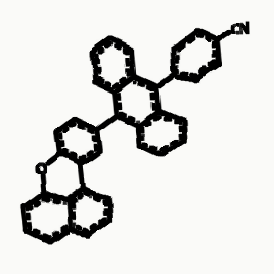 N#Cc1ccc(-c2c3ccccc3c(-c3ccc4c(c3)-c3cccc5cccc(c35)O4)c3ccccc23)cc1